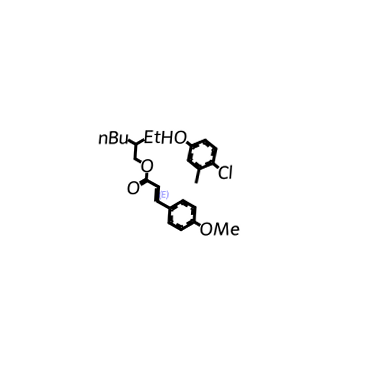 CCCCC(CC)COC(=O)/C=C/c1ccc(OC)cc1.Cc1cc(O)ccc1Cl